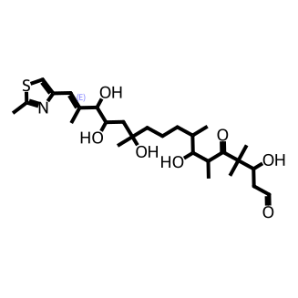 C/C(=C\c1csc(C)n1)C(O)C(O)CC(C)(O)CCCC(C)C(O)C(C)C(=O)C(C)(C)C(O)CC=O